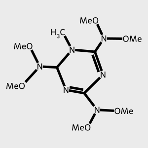 CON(OC)C1=NC(N(OC)OC)N(C)C(N(OC)OC)=N1